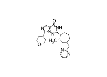 C[C@H]1CC(Cc2ncccn2)CCC[C@@H]1c1nn2c(C3CCOCC3)ncc2c(=O)[nH]1